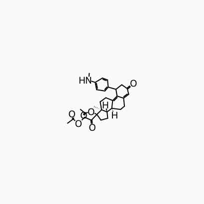 CNc1ccc(C2CC(=O)C=C3CC[C@@H]4C(=C32)CC[C@@]2(C)[C@H]4CC[C@]2(OC(C)=O)C(=O)COC(C)=O)cc1